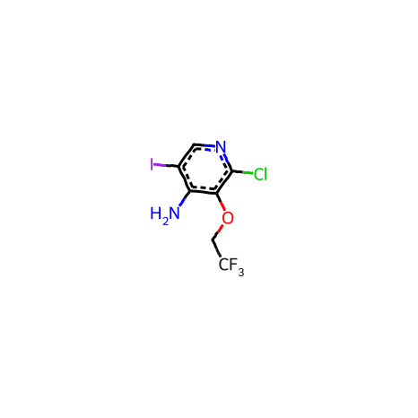 Nc1c(I)cnc(Cl)c1OCC(F)(F)F